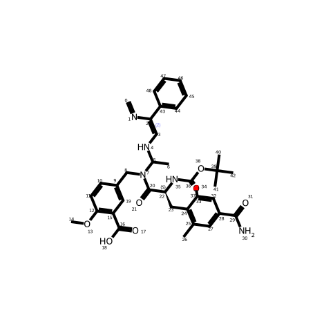 C=N/C(=C\NC(C)N(Cc1ccc(OC)c(C(=O)O)c1)C(=O)[C@H](Cc1c(C)cc(C(N)=O)cc1C)NC(=O)OC(C)(C)C)c1ccccc1